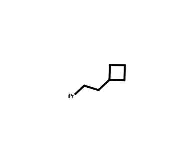 CC(C)[CH]CC1CCC1